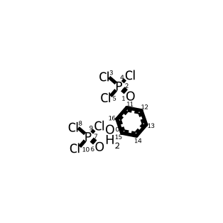 O.O=P(Cl)(Cl)Cl.O=P(Cl)(Cl)Cl.c1ccccc1